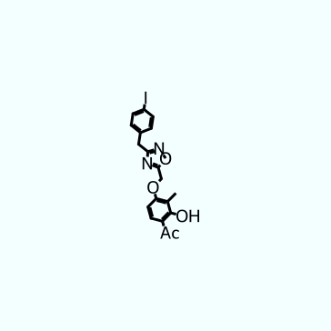 CC(=O)c1ccc(OCc2nc(Cc3ccc(I)cc3)no2)c(C)c1O